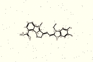 CCN1C(=CC=C2CCn3c2[n+](C)c2cccc(C(=O)O)c23)Oc2cc(C)c(C)cc21